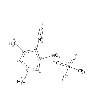 Cc1cc(C)c([N+]#N)c([N+](=O)[O-])c1.O=S(=O)([O-])C(F)(F)F